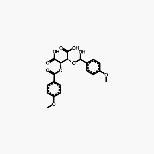 COc1ccc(C(=O)O[C@@H](C(=O)O)[C@@H](OC(O)c2ccc(OC)cc2)C(=O)O)cc1